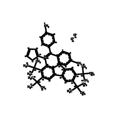 Cc1ccc([C](c2ccc(C)cc2)=[Zr+2]([C]2=CC=CC2)[c]2c3c(cc(C(C)(C)C)c2C(C)(C)C)-c2cc(C(C)(C)C)c(C(C)(C)C)cc2C3)cc1.[Cl-].[Cl-]